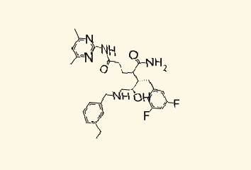 CCc1cccc(CNC[C@H](O)[C@@H](Cc2cc(F)cc(F)c2)C(CCC(=O)Nc2nc(C)cc(C)n2)C(N)=O)c1